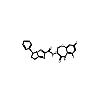 O=C(N[C@H]1COc2cc(F)cc(F)c2NC1=O)c1nc2n(n1)C(c1ccccc1)CC2